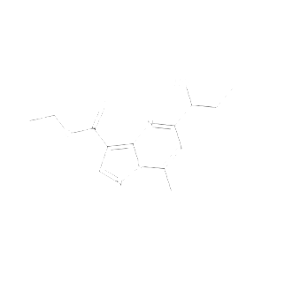 CCOC(=O)c1cnn2c(C)cc(C(O)CC)nc12